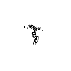 CN1CCN(c2cc(-c3ccc4c(c3)CN(C(=O)N3CCC(F)(F)CC3)CC4)nc(N)n2)CC1